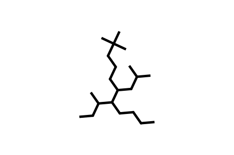 CCCC[C](C(C)CC)C(CCCC(C)(C)C)CC(C)C